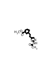 COC(=O)c1cccc(CCc2cnc(NC(C)=O)s2)c1